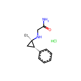 CC[C@@]1(NCC(N)=O)C[C@H]1c1ccccc1.Cl